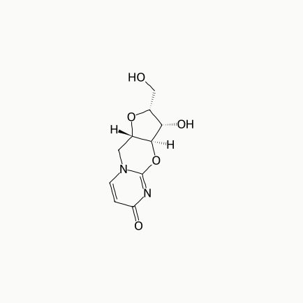 O=c1ccn2c(n1)O[C@@H]1[C@@H](O)[C@@H](CO)O[C@H]1C2